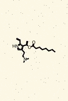 C=Cc1[nH]cc(CCN(C)C)c1C(=C)OC(=O)CCCCCCC